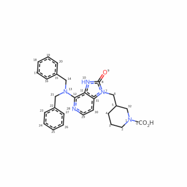 O=C(O)N1CCCC(Cn2c(=O)[nH]c3c(N(Cc4ccccc4)Cc4ccccc4)nccc32)C1